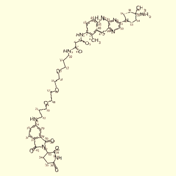 Cc1c(NC(=O)CC(=O)NCCCOCCOCCOCCCNc2ccc3c(c2)C(=O)N(C2CCC(=O)NC2=O)C3=O)cccc1Sc1ncc(N2CCC(C)(N)CC2)nc1N